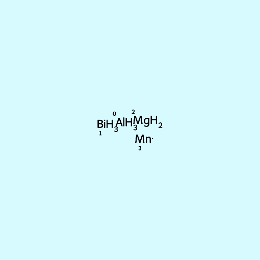 [AlH3].[BiH3].[MgH2].[Mn]